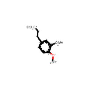 CCCOc1ccc(CCC(=O)OCC)cc1OC